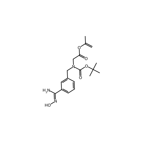 C=C(C)OC(=O)CN(Cc1cccc(/C(N)=N/O)c1)C(=O)OC(C)(C)C